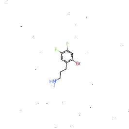 CNCCCc1cc(F)c(F)cc1Br